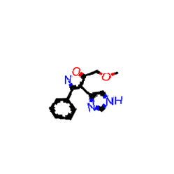 COCc1onc(-c2ccccc2)c1-c1c[nH]cn1